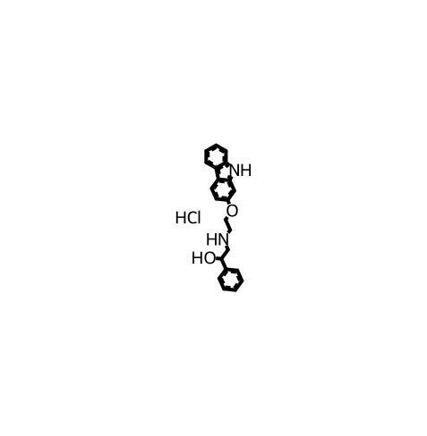 Cl.OC(CNCCOc1ccc2c(c1)[nH]c1ccccc12)c1ccccc1